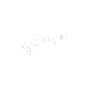 CSc1nccc(-n2ccc3c(N4CCN(C(=O)OC(C)(C)C)CC4)cccc32)n1